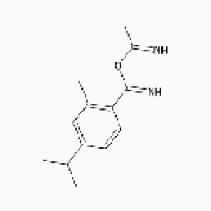 CC(=N)OC(=N)c1ccc(C(C)C)cc1C